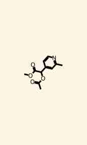 COC(=O)C(OC(C)=O)c1ccnc(C)c1